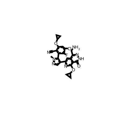 Cn1ncc(-c2cc3c(CN)n[nH]c(=O)c3c(OC3CC3)n2)c1-c1c(F)c(Cl)cc(OC2CC2)c1C#N